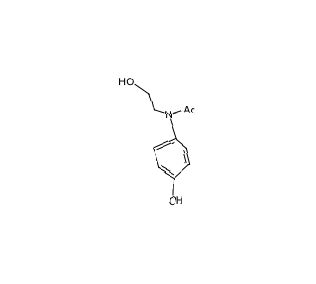 CC(=O)N(CCO)c1ccc(O)cc1